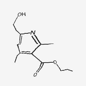 CCOC(=O)c1c(C)cc(CO)nc1C